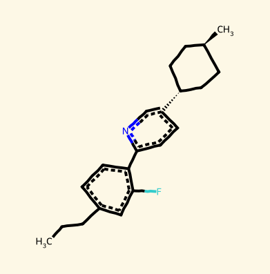 CCCc1ccc(-c2ccc([C@H]3CC[C@H](C)CC3)cn2)c(F)c1